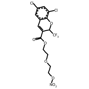 O=C(OCCOCCO[N+](=O)[O-])C1=Cc2cc(Cl)cc(Cl)c2OC1C(F)(F)F